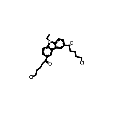 CCn1c2ccc(C(=O)CCCCCl)cc2c2cc(C(=O)CCCCCl)ccc21